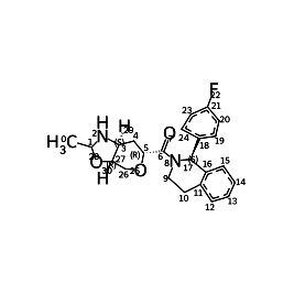 CC1N[C@H]2C[C@H](C(=O)N3CCc4ccccc4[C@@H]3c3ccc(F)cc3)OC[C@@H]2O1